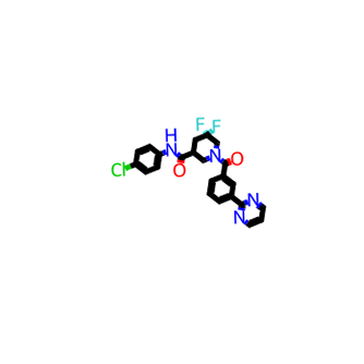 O=C(Nc1ccc(Cl)cc1)C1CN(C(=O)c2cccc(-c3ncccn3)c2)CC(F)(F)C1